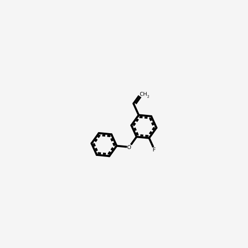 C=Cc1ccc(F)c(Oc2ccccc2)c1